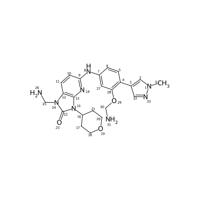 Cn1cc(-c2ccc(Nc3ccc4c(n3)n(C3CCOCC3)c(=O)n4CN)cc2OCN)cn1